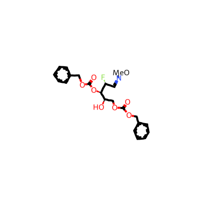 CO/N=C\[C@@H](F)[C@H](OC(=O)OCc1ccccc1)[C@H](O)COC(=O)OCc1ccccc1